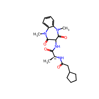 C[C@H](NC(=O)CC1CCCC1)C(=O)NC1C(=O)N(C)c2ccccc2N(C)C1=O